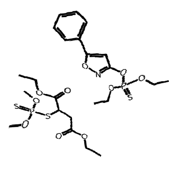 CCOC(=O)CC(SP(=S)(OC)OC)C(=O)OCC.CCOP(=S)(OCC)Oc1cc(-c2ccccc2)on1